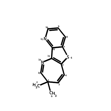 CC1(C)C=Cc2sc3cccnc3c2N=C1